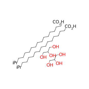 CC(C)CCCCCCCCCCCCCCC(=O)O.CC(C)CCCCCCCCCCCCCCC(=O)O.OCC(O)CO.OCC(O)CO